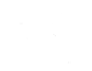 Cc1ccc(-n2c3ccc(C)cc3c3cc(C)c(O)cc32)cc1